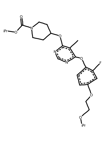 Cc1c(Oc2ccc(OCCOC(C)C)cc2F)ncnc1OC1CCN(C(=O)OC(C)C)CC1